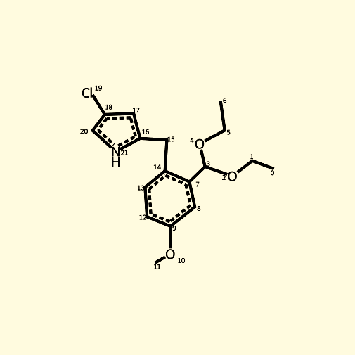 CCOC(OCC)c1cc(OC)ccc1Cc1cc(Cl)c[nH]1